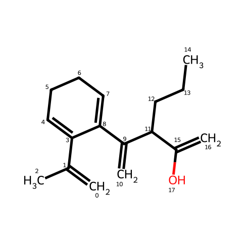 C=C(C)C1=CCCC=C1C(=C)C(CCC)C(=C)O